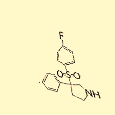 O=S(=O)(c1ccc(F)cc1)C1(c2cc[c]cc2)CCNC1